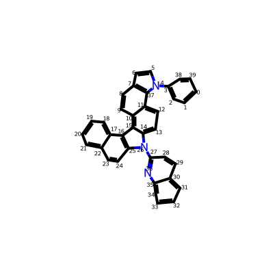 c1ccc(-n2ccc3ccc4c(ccc5c4c4c6ccccc6ccc4n5-c4ccc5ccccc5n4)c32)cc1